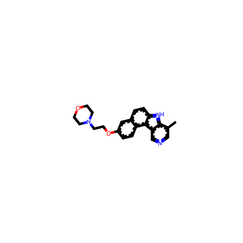 Cc1cncc2c1[nH]c1ccc3cc(OCCN4CCOCC4)ccc3c12